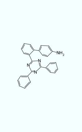 Nc1ccc(-c2ccccc2-c2nc(-c3ccccc3)nc(-c3ccccc3)n2)cc1